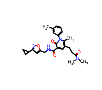 Cc1c(CCC(=O)N(C)C)cc(C(=O)NCc2cc(C3CC3)no2)c(=O)n1-c1cccc(C(F)(F)F)c1